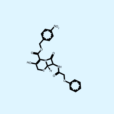 O=C(COc1ccccc1)NC1C(=O)N2C(C(=O)OCc3ccc([N+](=O)[O-])cc3)=C(O)CS[C@@H]12